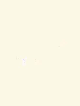 CC(C)(C)NC[C@H](O)CCc1cccc2c1CCCC2=O